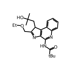 CCOCC1=Nc2c(NC(=O)C(C)(C)C)nc3ccccc3c2C1CC(C)(C)O